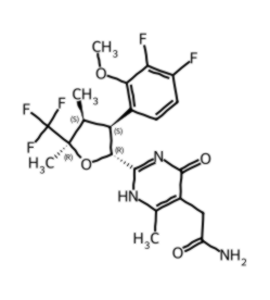 COc1c([C@H]2[C@H](c3nc(=O)c(CC(N)=O)c(C)[nH]3)O[C@@](C)(C(F)(F)F)[C@H]2C)ccc(F)c1F